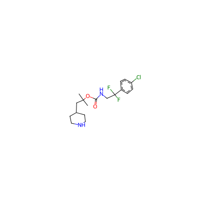 CC(C)(CC1CCNCC1)OC(=O)NCC(F)(F)c1ccc(Cl)cc1